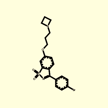 O=S1(=O)N=C(c2ccc(Br)cc2)c2ccc(OCCCN3CCC3)cc21